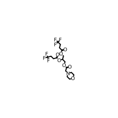 O=C(CCC(F)(F)F)OCC(COC(=O)CN1CCOCC1)OC(=O)CCC(F)(F)F